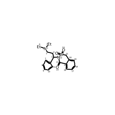 CCN(CC)CCC(c1ccccc1)N1C(=O)c2ccccc2CS1(=O)=O